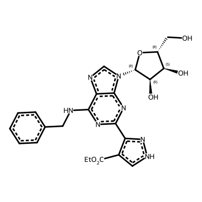 CCOC(=O)c1c[nH]nc1-c1nc(NCc2ccccc2)c2ncn([C@@H]3O[C@H](CO)[C@@H](O)[C@H]3O)c2n1